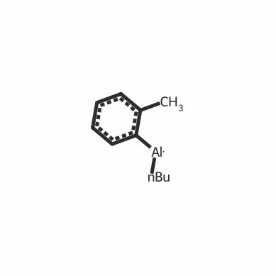 CCC[CH2][Al][c]1ccccc1C